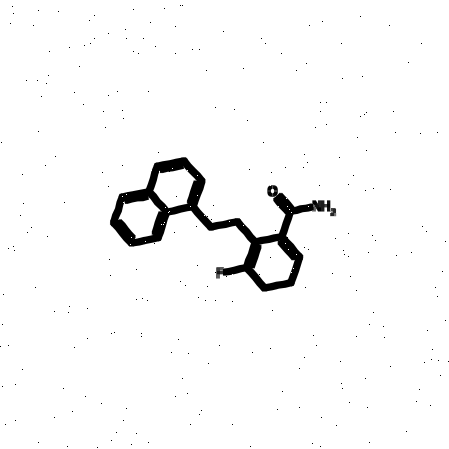 NC(=O)C1=CCCC(F)=C1CCc1cccc2ccccc12